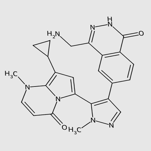 Cn1ncc(-c2ccc3c(=O)[nH]nc(CN)c3c2)c1-c1cc(C2CC2)c2n(C)ccc(=O)n12